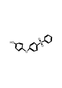 O=S(=O)(c1ccccc1)c1ccc(Oc2ccc(O)cc2)cc1